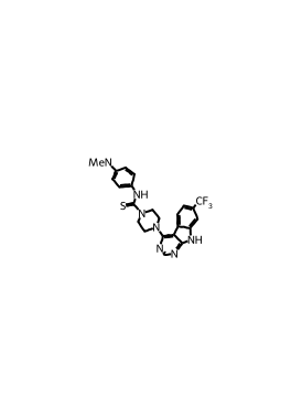 CNc1ccc(NC(=S)N2CCN(c3ncnc4[nH]c5cc(C(F)(F)F)ccc5c34)CC2)cc1